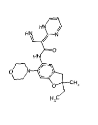 CCC1(C)Cc2cc(NC(=O)/C(C=N)=C3\N=CC=CN3)c(N3CCOCC3)cc2O1